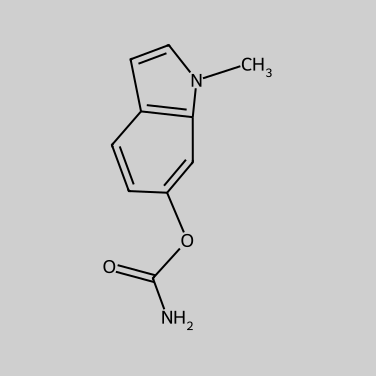 Cn1ccc2ccc(OC(N)=O)cc21